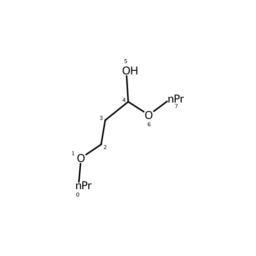 CCCOCCC(O)OCCC